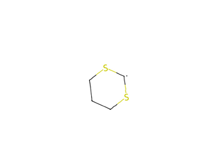 [CH]1SCCCS1